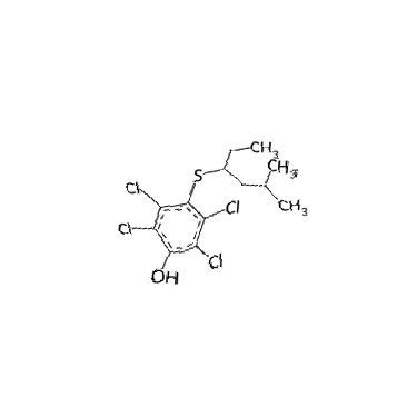 CCC(CC(C)C)Sc1c(Cl)c(Cl)c(O)c(Cl)c1Cl